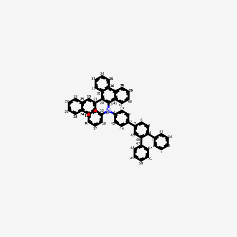 c1ccc(-c2ccc(-c3ccc(N(c4ccccc4)c4c(-c5ccc6ccccc6c5)c5ccccc5c5ccccc45)cc3)cc2-c2ccccc2)cc1